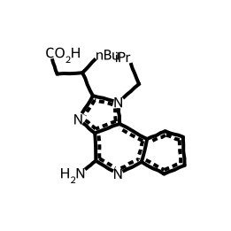 CCCCC(CC(=O)O)c1nc2c(N)nc3ccccc3c2n1CC(C)C